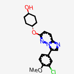 COc1ccc(-c2cnc3ccc(O[C@H]4CC[C@H](O)CC4)nn23)cc1Cl